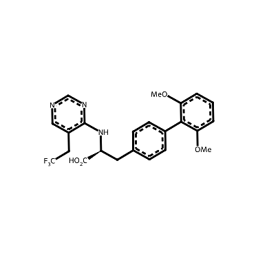 COc1cccc(OC)c1-c1ccc(C[C@H](Nc2ncncc2CC(F)(F)F)C(=O)O)cc1